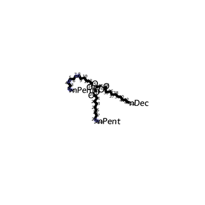 CCCCC/C=C\C/C=C\C/C=C\CCCCC(=O)O[C@H](COC(=O)CCCCCCC/C=C\CCCCC)COC(=O)CCCCCCCCCCCCCCCCCCC